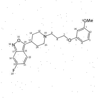 COc1[c]ccc(OCCCN2CCC(c3onc4cc(F)ccc34)CC2)c1